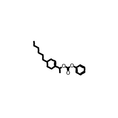 CCCCCCC1CC=C(C(C)OC(=O)Oc2ccccc2)CC1